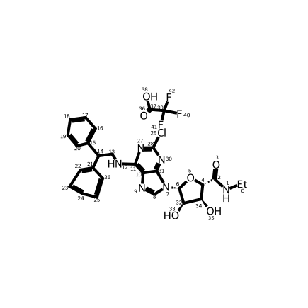 CCNC(=O)[C@H]1O[C@@H](n2cnc3c(NCC(c4ccccc4)c4ccccc4)nc(Cl)nc32)[C@H](O)[C@@H]1O.O=C(O)C(F)(F)F